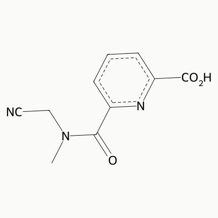 CN(CC#N)C(=O)c1cccc(C(=O)O)n1